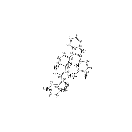 Cc1nc(-c2nc3ccccn3c2-c2ccc3ncc(-c4nnn5c4CNCC5)cc3n2)ccc1F